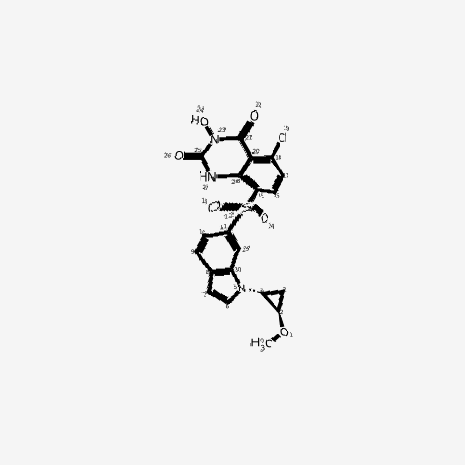 CO[C@@H]1C[C@H]1n1ccc2ccc(S(=O)(=O)c3ccc(Cl)c4c(=O)n(O)c(=O)[nH]c34)cc21